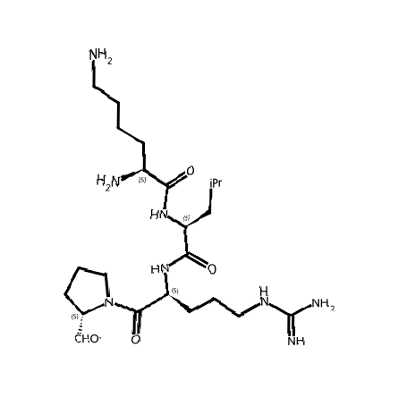 CC(C)C[C@H](NC(=O)[C@@H](N)CCCCN)C(=O)N[C@@H](CCCNC(=N)N)C(=O)N1CCC[C@H]1[C]=O